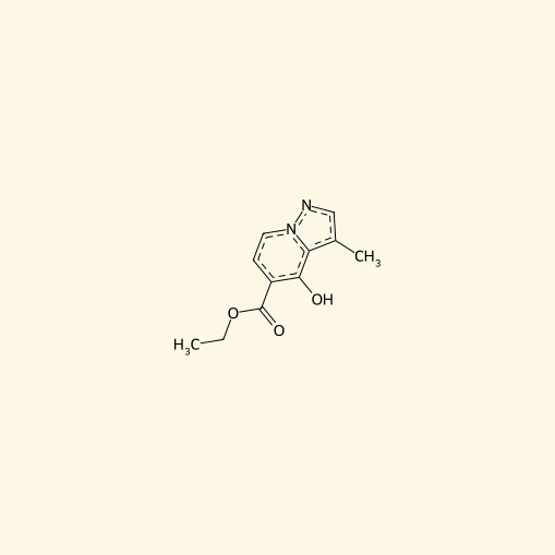 CCOC(=O)c1ccn2ncc(C)c2c1O